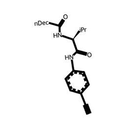 C#Cc1ccc(NC(=O)[C@@H](NC(=O)CCCCCCCCCC)C(C)C)cc1